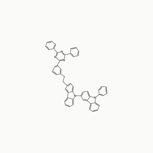 c1ccc(-c2nc(-c3ccccc3)nc(-c3cccc(CCc4ccc5c(c4)c4ccccc4n5-c4ccc5c(c4)c4ccccc4n5-c4ccccc4)c3)n2)cc1